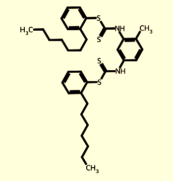 CCCCCCCc1ccccc1SC(=S)Nc1ccc(C)c(NC(=S)Sc2ccccc2CCCCCCC)c1